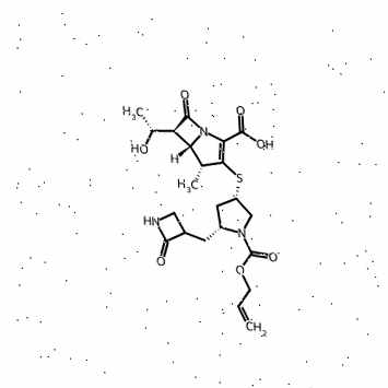 C=CCOC(=O)N1C[C@@H](SC2=C(C(=O)O)N3C(=O)[C@H]([C@@H](C)O)[C@H]3[C@H]2C)C[C@H]1CC1CNC1=O